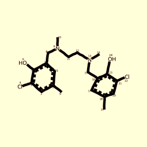 Cc1cc(Cl)c(O)c(CN(C)CCN(C)Cc2cc(C)cc(Cl)c2O)c1